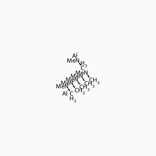 CNC.CNC.CNC.CNC.CNC.CNC.[Al].[Al]